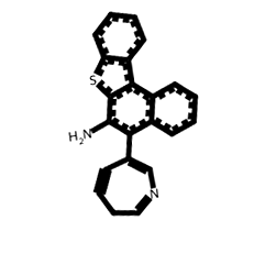 Nc1c(C2=CN=CCC#C2)c2ccccc2c2c1sc1ccccc12